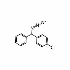 [N-]=[N+]=NC(c1ccccc1)c1ccc(Cl)cc1